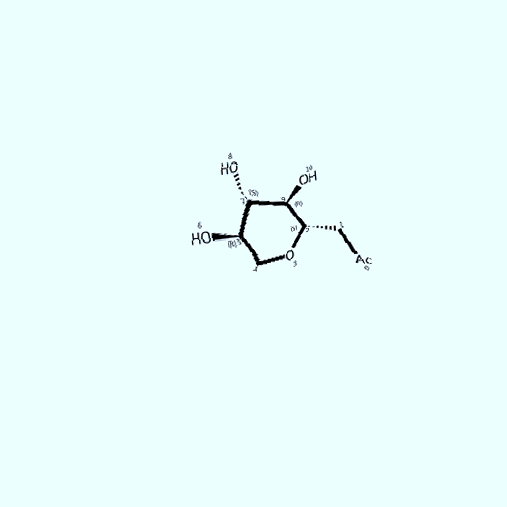 CC(=O)C[C@@H]1OC[C@@H](O)[C@H](O)[C@H]1O